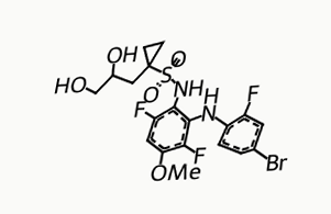 COc1cc(F)c(NS(=O)(=O)C2(CC(O)CO)CC2)c(Nc2ccc(Br)cc2F)c1F